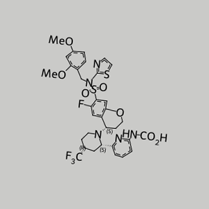 COc1ccc(CN(c2nccs2)S(=O)(=O)c2cc3c(cc2F)[C@@H](N2CC[C@@H](C(F)(F)F)C[C@H]2c2cccc(NC(=O)O)n2)CCO3)c(OC)c1